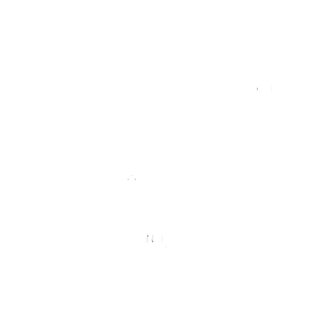 Cc1ccc(COc2ccccc2N)cc1